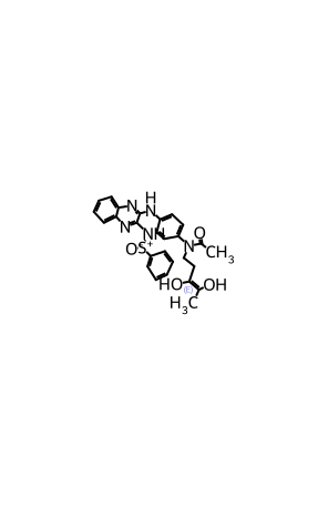 CC(=O)N(CC/C(O)=C(/C)O)c1ccc(Nc2nc3ccccc3nc2N[S+]([O-])c2ccccc2)cc1